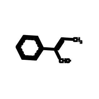 CC=C([C]=O)c1ccccc1